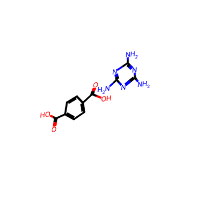 Nc1nc(N)nc(N)n1.O=C(O)c1ccc(C(=O)O)cc1